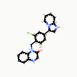 O=c1cnc2ccccc2n1Cc1c(F)cc(-c2cnc3ccccn23)cc1F